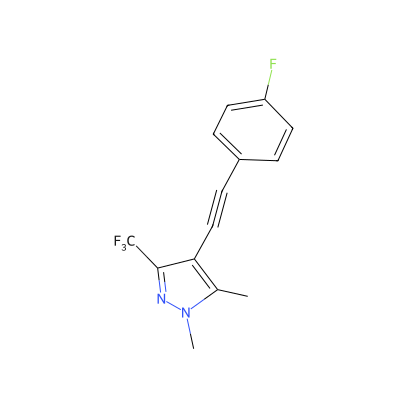 Cc1c(C#Cc2ccc(F)cc2)c(C(F)(F)F)nn1C